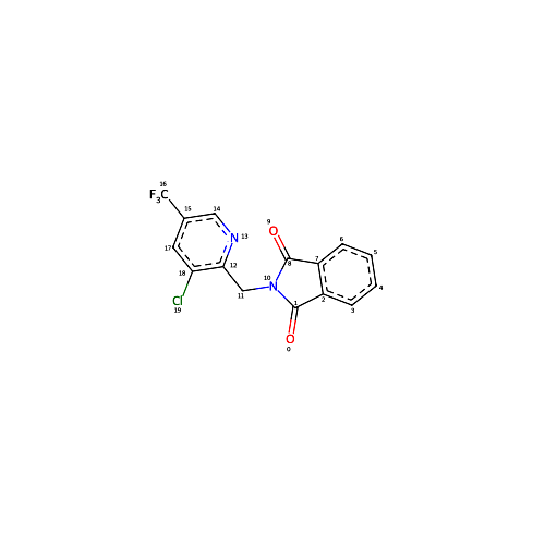 O=C1c2ccccc2C(=O)N1Cc1ncc(C(F)(F)F)cc1Cl